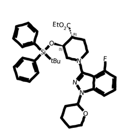 CCOC(=O)[C@@H]1CCN(c2nn(C3CCCCO3)c3cccc(F)c23)C[C@H]1O[Si](c1ccccc1)(c1ccccc1)C(C)(C)C